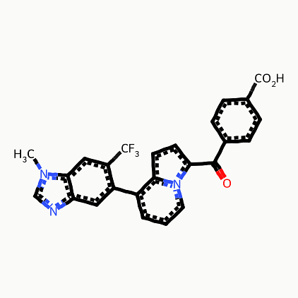 Cn1cnc2cc(-c3cccn4c(C(=O)c5ccc(C(=O)O)cc5)ccc34)c(C(F)(F)F)cc21